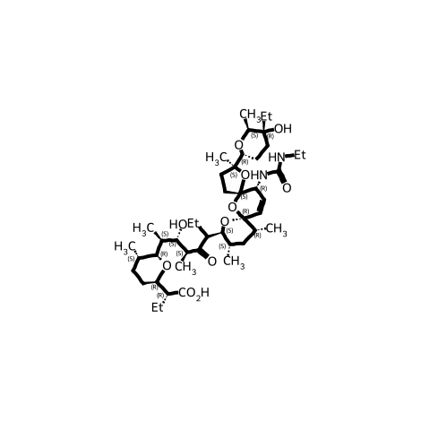 CCNC(=O)N[C@@H]1C=C[C@]2(O[C@H](C(CC)C(=O)[C@@H](C)[C@@H](O)[C@H](C)[C@@H]3O[C@@H]([C@@H](CC)C(=O)O)CC[C@@H]3C)[C@@H](C)C[C@H]2C)O[C@@]12CC[C@@](C)([C@H]1CC[C@](O)(CC)[C@H](C)O1)O2